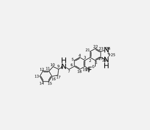 Cc1c(-c2ccc(CNC3Cc4ccccc4C3)cc2F)ccc2nc[nH]c12